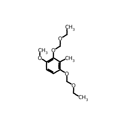 CCOCOc1ccc(OC)c(OCOCC)c1C